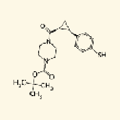 CC(C)(C)OC(=O)N1CCN(C(=O)[C@H]2C[C@H]2c2ccc(S)cc2)CC1